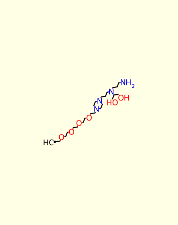 C#CCOCCOCCOCCOCCN1CCN(CCCN(CCCN)C(CO)CO)CC1